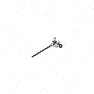 CCCCCCCCCCCCCCCCCCOC(=O)c1c(NC(=O)c2ccccc2)c[nH]c1C